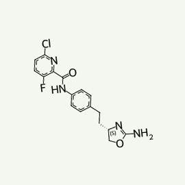 NC1=N[C@@H](CCc2ccc(NC(=O)c3nc(Cl)ccc3F)cc2)CO1